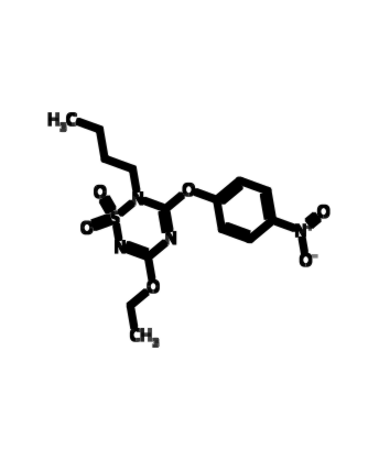 CCCCN1C(Oc2ccc([N+](=O)[O-])cc2)=NC(OCC)=NS1(=O)=O